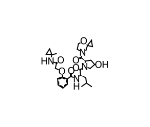 CC(C)C[C@@H](NC(=O)c1ccccc1OCC(=O)NC1(C)CC1)C(=O)N1C[C@@H](O)C[C@@H]1C(=O)N1CCOC2(CC2)C1